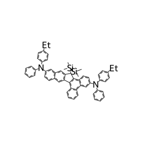 CCc1ccc(N(c2ccccc2)c2ccc3cc4c(cc3c2)C([Si](C)(C)C)([Si](C)(C)C)c2c-4c3ccccc3c3cc(N(c4ccccc4)c4ccc(CC)cc4)ccc23)cc1